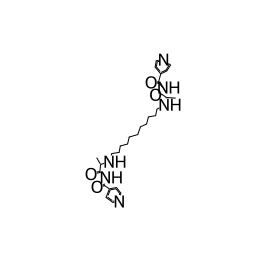 CC(NCCCCCCCCCCCNC(C)C(=O)NC(=O)c1ccncc1)C(=O)NC(=O)c1ccncc1